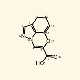 O=C(O)C1=Cn2ncc3c2C(=CCC3)O1